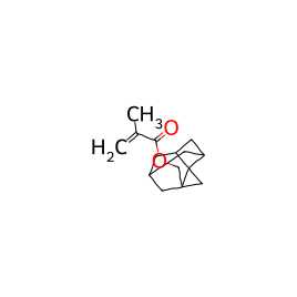 C=C(C)C(=O)OCC12CC3CC4CC(C3)C41C2